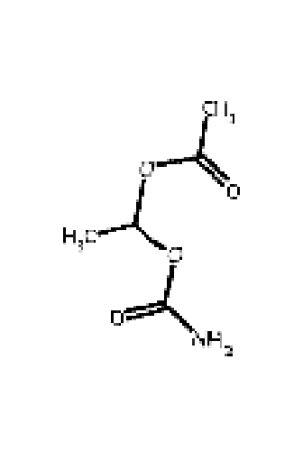 CC(=O)OC(C)OC(N)=O